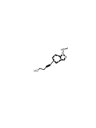 OCCC#Cc1ccc2c(cnn2PI)c1